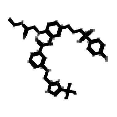 CCOC(=O)COc1ccc(CCCS(=O)(=O)c2ccc(Cl)cc2)cc1NC(=O)c1cccc(SCc2nc(C(C)(C)C)cs2)c1